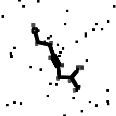 [O]CCC#CCC(F)F